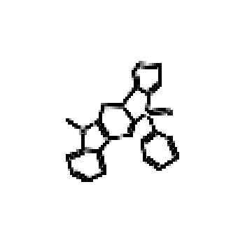 Cn1c2ccccc2c2cc3c(cc21)-c1ccccc1P3(=S)c1ccccc1